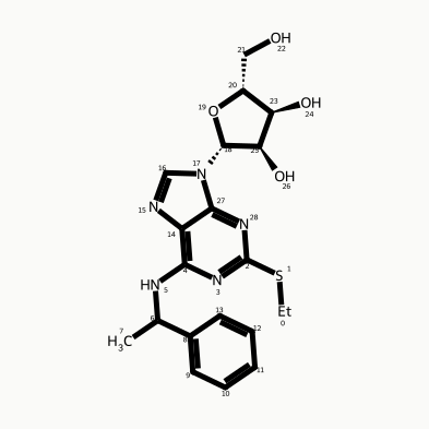 CCSc1nc(NC(C)c2ccccc2)c2ncn([C@@H]3O[C@H](CO)[C@@H](O)[C@H]3O)c2n1